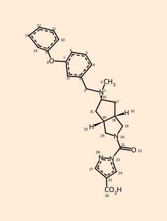 CN(Cc1cccc(Oc2ccccc2)c1)[C@H]1C[C@@H]2CN(C(=O)n3cc(C(=O)O)cn3)C[C@@H]2C1